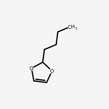 CCCCC1OC=CO1